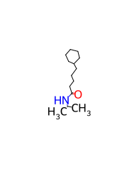 CC(C)NC(=O)CCCCC1CCCCC1